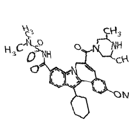 COc1ccc2c(c1)C=C(C(=O)N1CC(C)NC(C)C1)Cn1c-2c(C2CCCCC2)c2ccc(C(=O)NS(=O)(=O)N(C)C)cc21